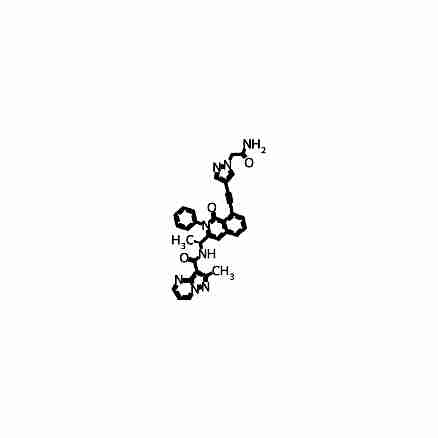 Cc1nn2cccnc2c1C(=O)N[C@@H](C)c1cc2cccc(C#Cc3cnn(CC(N)=O)c3)c2c(=O)n1-c1ccccc1